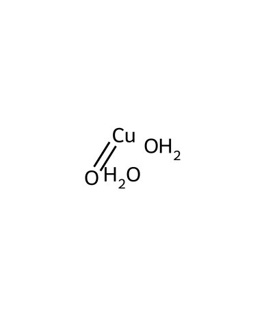 O.O.[O]=[Cu]